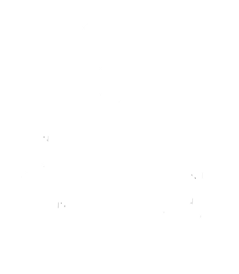 Cn1cc(-c2cc(CCN[SH](=O)=O)ccc2OC2CCCOC2)c2cc[nH]c2c1=O